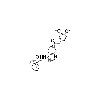 COc1ccc(CC(=O)N2CCc3c(ncnc3NCC(O)C34CC5CC(CC(C5)C3)C4)C2)cc1OC